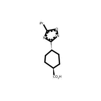 CC(C)c1nc([C@H]2CC[C@H](C(=O)O)CC2)no1